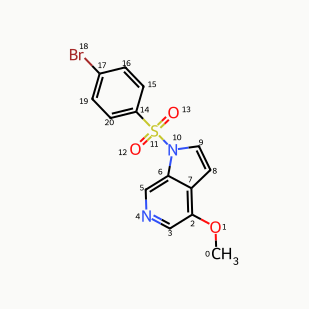 COc1cncc2c1ccn2S(=O)(=O)c1ccc(Br)cc1